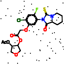 CC(=O)OC1COCC1OC(=O)COc1cc(N2C(=O)C3CCCCN3C2=S)c(F)cc1Cl